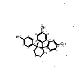 CC(C)c1ccc(C2(C)CCCCC2(c2ccc(O)cc2)c2ccc(O)cc2)cc1